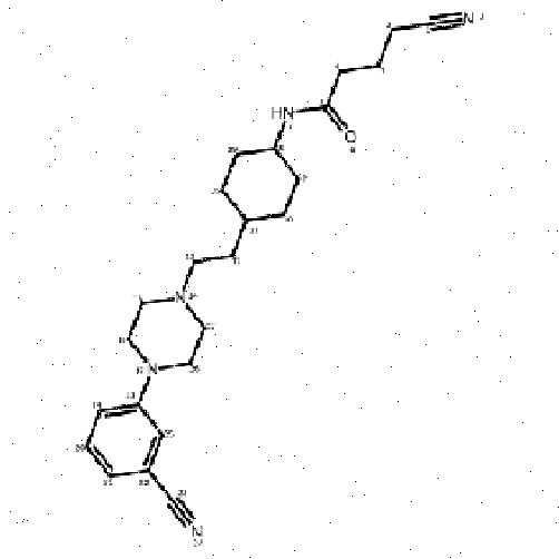 N#CCCCC(=O)NC1CCC(CCN2CCN(c3cccc(C#N)c3)CC2)CC1